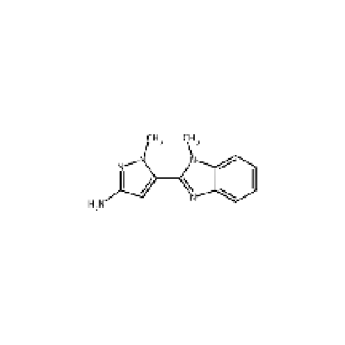 Cn1nc(N)cc1-c1nc2ccccc2n1C